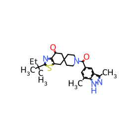 CCC(C)(C)c1nc2c(s1)CC1(CCN(C(=O)c3cc(C)c4[nH]nc(C)c4c3)CC1)CC2=O